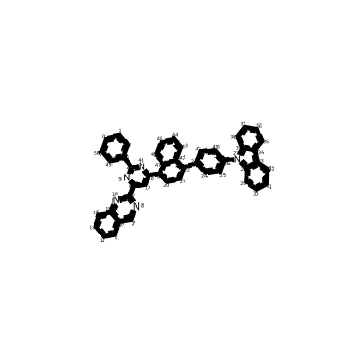 c1ccc(-c2nc(-c3ncc4ccccc4n3)cc(-c3ccc(-c4ccc(-n5c6ccccc6c6ccccc65)cc4)c4ccccc34)n2)cc1